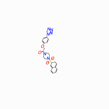 O=C(COc1ccc(-n2cnnn2)cc1)N1CCN(S(=O)(=O)C2C=c3ccccc3=CC2)CC1